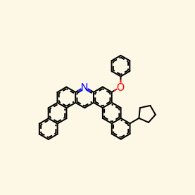 c1ccc(Oc2cc3nc4ccc5cc6ccccc6cc5c4cc3c3cc4cccc(C5CCCC5)c4cc23)cc1